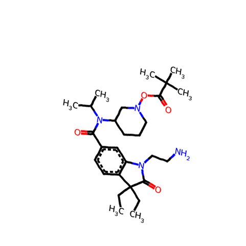 CCC1(CC)C(=O)N(CCN)c2cc(C(=O)N(C(C)C)C3CCCN(OC(=O)C(C)(C)C)C3)ccc21